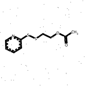 CC(=O)OCCSSc1ccccn1